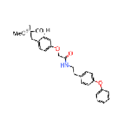 CO[C@@](C)(Cc1ccc(OCC(=O)NCCc2ccc(Oc3ccccc3)cc2)cc1)C(=O)O